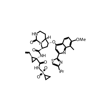 C=C[C@@H]1C[C@]1(NC(=O)[C@@H]1C[C@@H](Oc2cc(-c3nc(C(C)C)cs3)nc3c(C)c(OC)ccc23)[C@H]2CCNC(=O)N21)C(=O)NS(=O)(=O)C1CC1